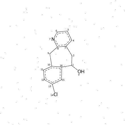 OC1Cc2cccnc2Cc2ccc(Cl)cc21